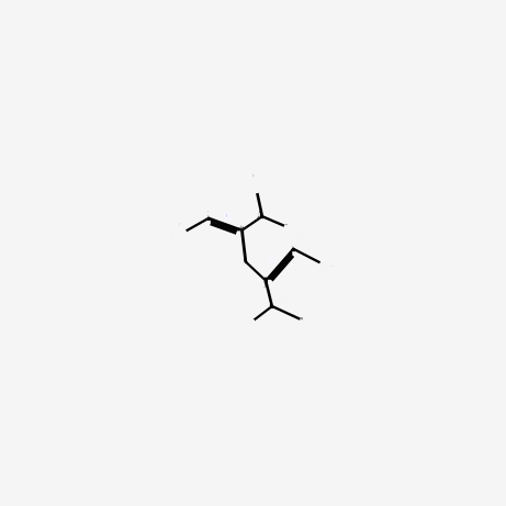 O/C=C(/C/C(=C\O)C(F)F)C(F)F